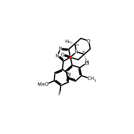 COc1cc(-c2nnc3n2C[C@@H]2COC[C@H]3N2C(=O)c2cccc(C)c2Cl)ncc1F